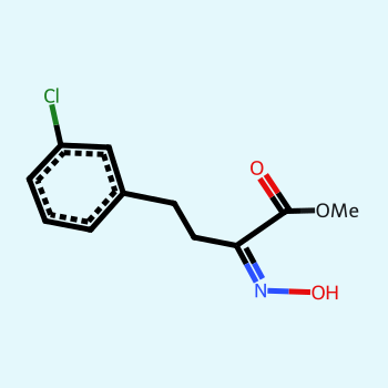 COC(=O)/C(CCc1cccc(Cl)c1)=N\O